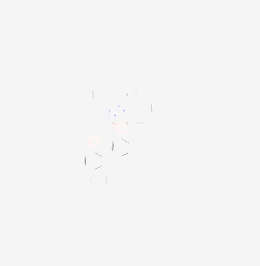 Cc1ccc(OC(CC(=O)NN(C(C)C)C(C)C)c2ccccc2)cc1